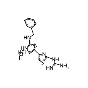 Cl.Cl.N=C(N)Nc1nc(-c2c[nH]c(NCc3ccccc3)n2)cs1